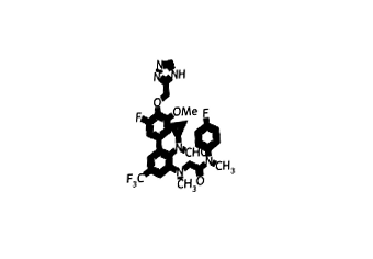 COc1cc(-c2cc(C(F)(F)F)cc(N(C)CC(=O)N(C)c3ccc(F)cc3)c2N(C=O)C2CC2)cc(F)c1OCc1nnc[nH]1